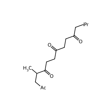 CC(=O)CC(C)C(=O)CCC(=O)CCC(=O)CC(C)C